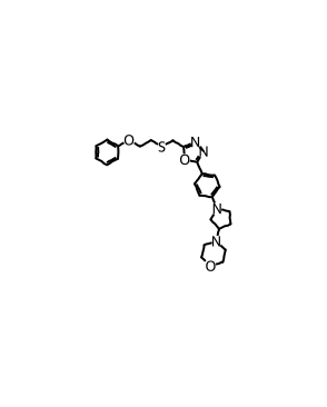 c1ccc(OCCSCc2nnc(-c3ccc(N4CCC(N5CCOCC5)C4)cc3)o2)cc1